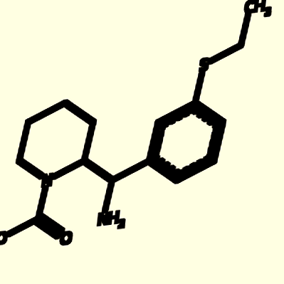 CCSc1cccc(C(N)C2CCCCN2C(=O)O)c1